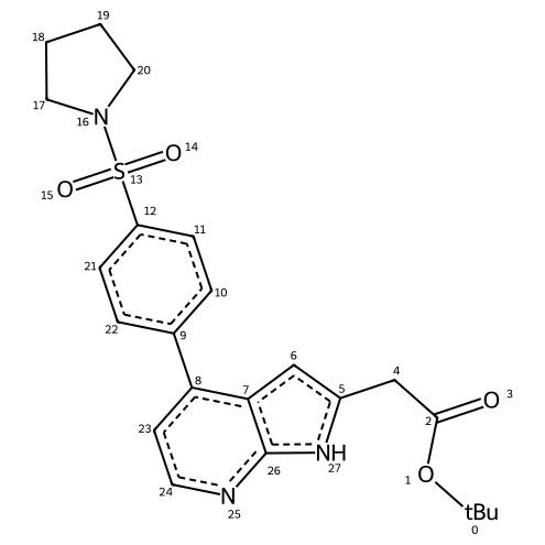 CC(C)(C)OC(=O)Cc1cc2c(-c3ccc(S(=O)(=O)N4CCCC4)cc3)ccnc2[nH]1